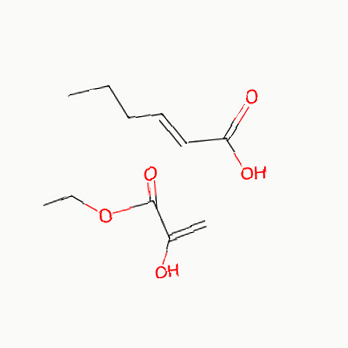 C=C(O)C(=O)OCC.CCCC=CC(=O)O